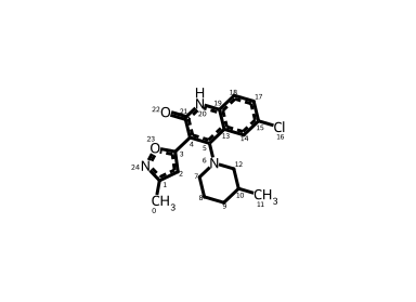 Cc1cc(-c2c(N3CCCC(C)C3)c3cc(Cl)ccc3[nH]c2=O)on1